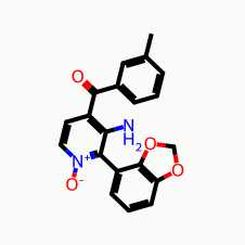 Cc1cccc(C(=O)c2cc[n+]([O-])c(-c3cccc4c3OCO4)c2N)c1